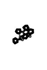 c1ccc(-c2nc3c(N(c4ccccc4)c4ccccc4)c4c(cc3o2)oc2ccccc24)cc1